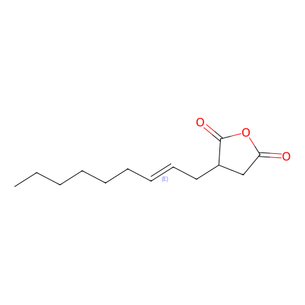 CCCCCC/C=C/CC1CC(=O)OC1=O